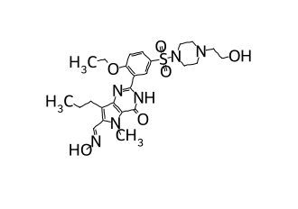 CCCc1c(C=NO)n(C)c2c(=O)[nH]c(-c3cc(S(=O)(=O)N4CCN(CCO)CC4)ccc3OCC)nc12